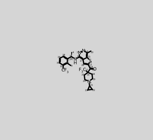 Cc1c([C@@H](C)Nc2nnc(C)c3sc(C(=O)C4(C(F)(F)F)CCN(C5CC5)CC4)cc23)cccc1C(F)(F)F